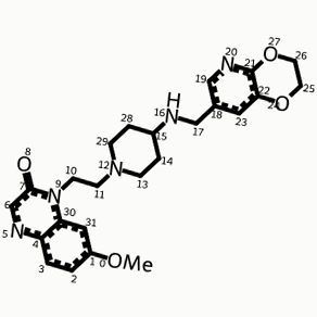 COc1ccc2ncc(=O)n(CCN3CCC(NCc4cnc5c(c4)OCCO5)CC3)c2c1